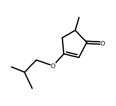 CC(C)COC1=CC(=O)C(C)C1